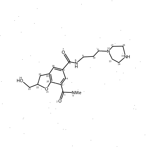 CNC(=O)c1cc(C(=O)NCCCN2CCNCC2)cc2c1OC(CO)C2